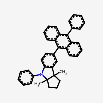 CC12CCCC1(C)N(c1ccccc1)c1ccc(-c3c4ccccc4c(-c4ccccc4)c4ccccc34)cc12